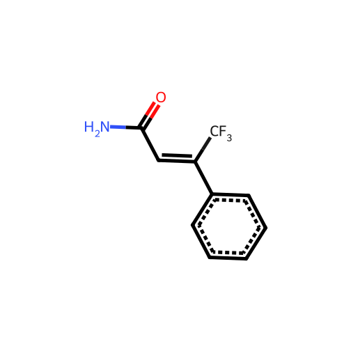 NC(=O)C=C(c1ccccc1)C(F)(F)F